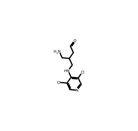 NCC(CC=O)CNc1c(Cl)cncc1Cl